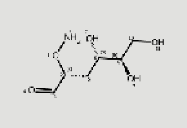 NO[C@@H](C=O)C[C@H](O)[C@H](O)CO